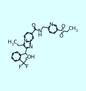 CCc1c(C(O)c2ccccc2C(F)(F)F)nc2cc(C(=O)NCc3ccc(S(=O)(=O)CC)cn3)ccn12